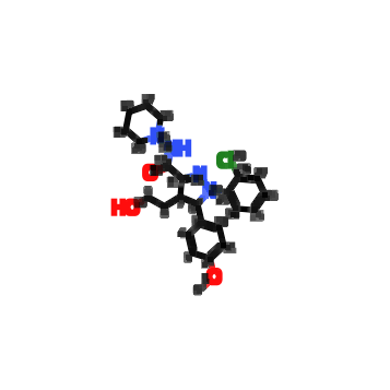 COc1ccc(C2C(CCO)C(C(=O)NN3CCCCC3)=NN2c2ccccc2Cl)cc1